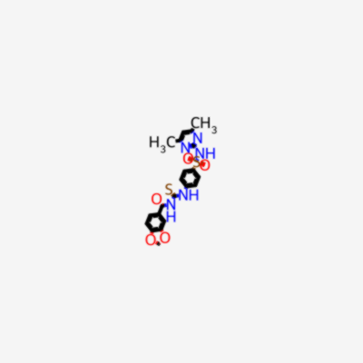 Cc1cc(C)nc(NS(=O)(=O)c2ccc(NC(=S)NC(=O)c3ccc4c(c3)OCO4)cc2)n1